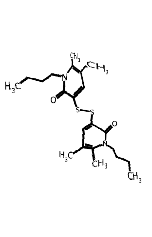 CCCCn1c(C)c(C)cc(SSc2cc(C)c(C)n(CCCC)c2=O)c1=O